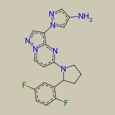 Nc1cnn(-c2cnn3ccc(N4CCCC4c4cc(F)ccc4F)nc23)c1